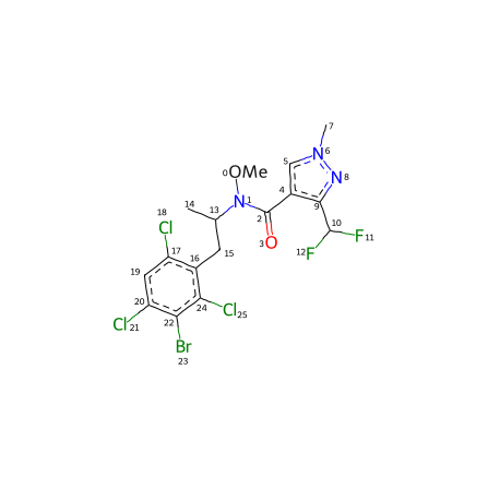 CON(C(=O)c1cn(C)nc1C(F)F)C(C)Cc1c(Cl)cc(Cl)c(Br)c1Cl